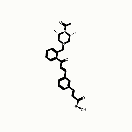 CC(=O)N1[C@H](C)CN(Cc2ccccc2C(=O)/C=C/c2cccc(/C=C/C(=O)NO)c2)C[C@@H]1C